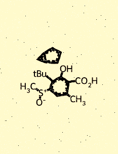 Cc1cc([S+](C)[O-])c(C(C)(C)C)c(O)c1C(=O)O.c1cc2cc-2c1